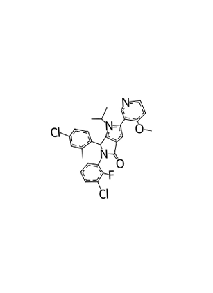 COc1ccncc1-c1cc2c(n1C(C)C)C(c1ccc(Cl)cc1C)N(c1cccc(Cl)c1F)C2=O